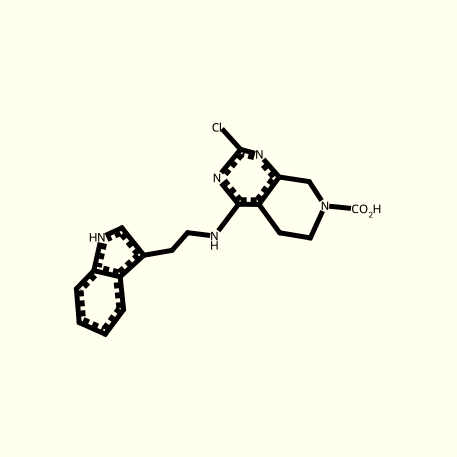 O=C(O)N1CCc2c(nc(Cl)nc2NCCc2c[nH]c3ccccc23)C1